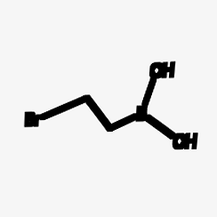 OB(O)CCBr